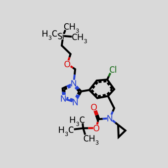 CC(C)(C)OC(=O)N(Cc1cc(Cl)cc(-c2nncn2COCC[Si](C)(C)C)c1)C1CC1